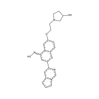 ON=c1cc(-c2cc3cccn3cn2)oc2ccc(OCCN3CCC(O)C3)cc12